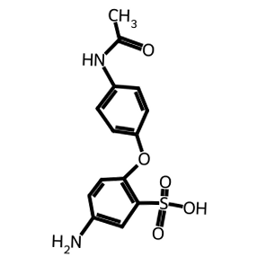 CC(=O)Nc1ccc(Oc2ccc(N)cc2S(=O)(=O)O)cc1